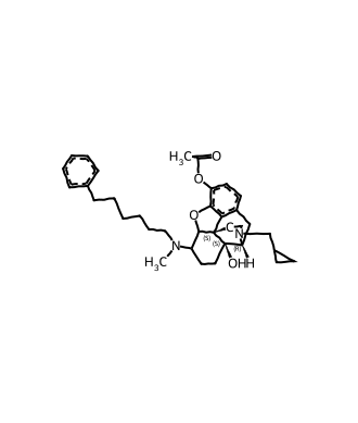 CC(=O)Oc1ccc2c3c1OC1C(N(C)CCCCCCc4ccccc4)CC[C@@]4(O)[C@@H](C2)N(CC2CC2)CC[C@]314